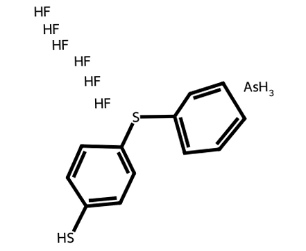 F.F.F.F.F.F.Sc1ccc(Sc2ccccc2)cc1.[AsH3]